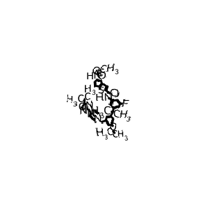 CC(C)Oc1cc(CN2CCN(c3noc(C(C)C)n3)CC2)cc(C(C)(C)c2cc(F)cc(NC(=O)c3cc4cc(NS(C)(=O)=O)ccc4s3)c2)c1